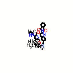 C[C@H](Oc1cc2cc(C#N)ccc2nc1N1C(=O)c2ccccc2C1=O)c1nc(CO[Si](C)(C)C(C)(C)C)ccc1-n1cccn1